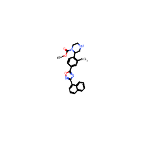 CC(C)(C)OC(=O)N1CCNCC1c1ccc(-c2nc(-c3cccc4ccccc34)no2)cc1[N+](=O)[O-]